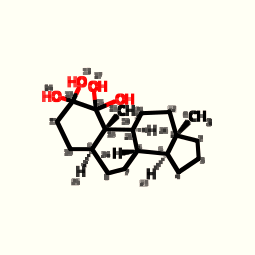 C[C@@]12CCC[C@H]1[C@@H]1CC[C@H]3CCC(O)(O)C(O)(O)[C@]3(C)[C@H]1CC2